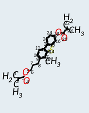 C=C(C)C(=O)OCCCc1ccc2c(sc3cc(OC(=O)C(=C)C)ccc32)c1C